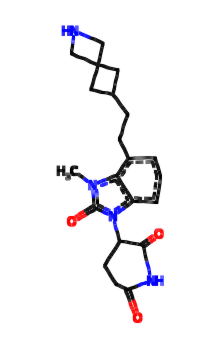 Cn1c(=O)n(C2CCC(=O)NC2=O)c2cccc(CCC3CC4(CNC4)C3)c21